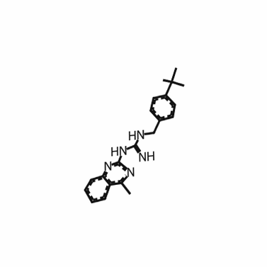 Cc1nc(NC(=N)NCc2ccc(C(C)(C)C)cc2)nc2ccccc12